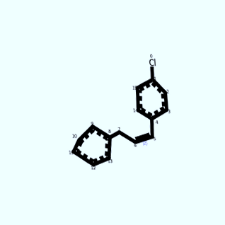 Clc1ccc(/C=C\Cc2ccccc2)cc1